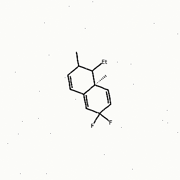 CCC1C(C)C=CC2=CC(F)(F)C=C[C@@]21C